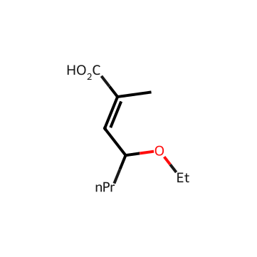 CCCC(/C=C(\C)C(=O)O)OCC